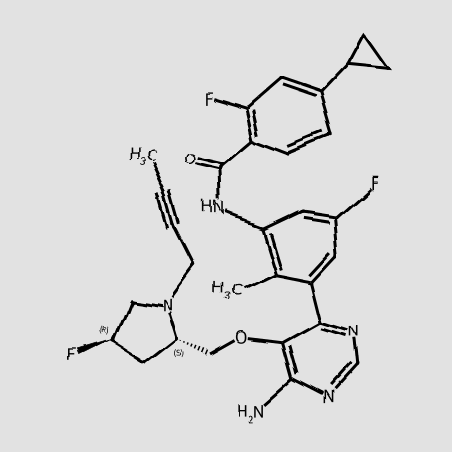 CC#CCN1C[C@H](F)C[C@H]1COc1c(N)ncnc1-c1cc(F)cc(NC(=O)c2ccc(C3CC3)cc2F)c1C